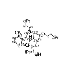 CC(C)CCOc1cc(OCCC(C)C)c(PC(=O)c2c(C(F)(F)F)cccc2C(F)(F)F)c(OCCC(C)C)c1.[LiH]